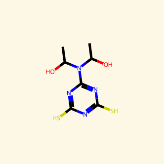 CC(O)N(c1nc(S)nc(S)n1)C(C)O